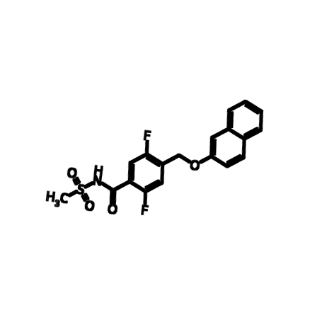 CS(=O)(=O)NC(=O)c1cc(F)c(COc2ccc3ccccc3c2)cc1F